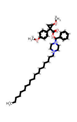 CCCCCCCCCCCCCCCCCCN1CCN(C(OC(=O)C2(c3ccc(OC)cc3)CC2OC)c2ccccc2)CC1